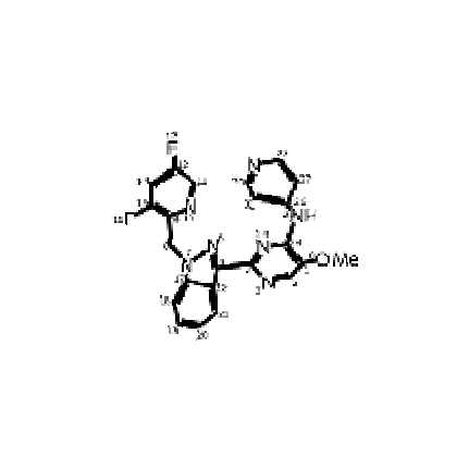 COc1cnc(-c2nn(Cc3ncc(F)cc3F)c3ccccc23)nc1Nc1ccncc1